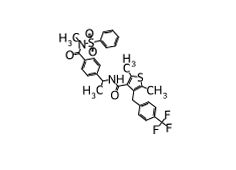 Cc1sc(C)c(C(=O)N[C@@H](C)c2ccc(C(=O)N(C)S(=O)(=O)c3ccccc3)cc2)c1Cc1ccc(C(F)(F)F)cc1